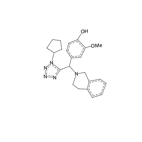 COc1cc(C(c2nnnn2C2CCCC2)N2CCc3ccccc3C2)ccc1O